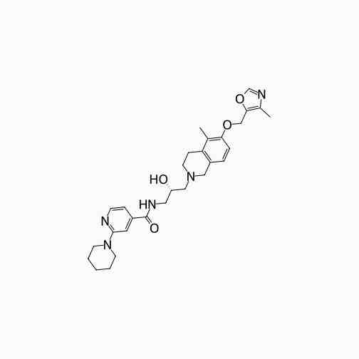 Cc1ncoc1COc1ccc2c(c1C)CCN(C[C@@H](O)CNC(=O)c1ccnc(N3CCCCC3)c1)C2